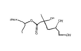 CCCCCCC(C)OC(=O)C(C)(O)CC(O)CO